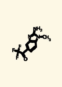 Cn1c(N)nc2cc(C(=O)C(F)(F)F)ccc21